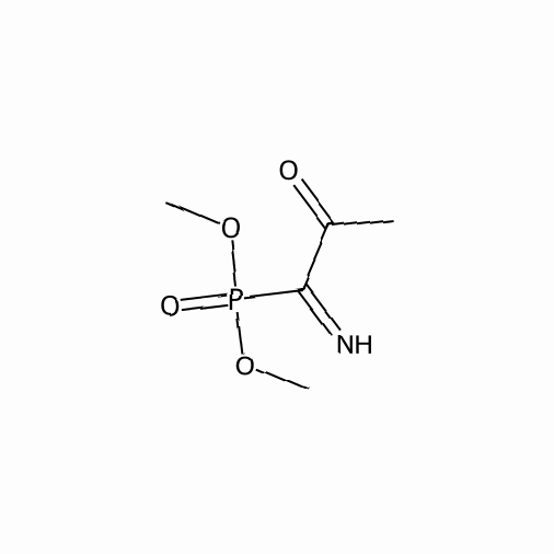 COP(=O)(OC)C(=N)C(C)=O